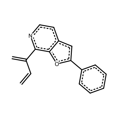 C=CC(=C)c1nccc2cc(-c3ccccc3)oc12